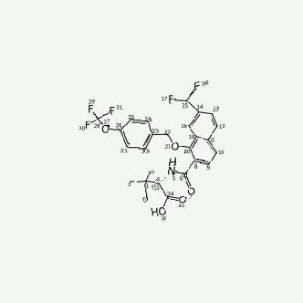 CC(C)(C)[C@H](NC(=O)c1ccc2ccc(C(F)F)cc2c1OCc1ccc(OC(F)(F)F)cc1)C(=O)O